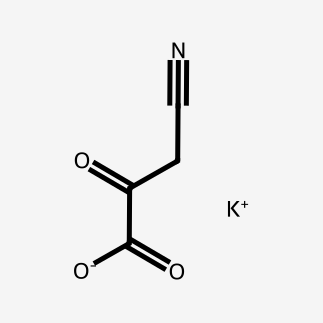 N#CCC(=O)C(=O)[O-].[K+]